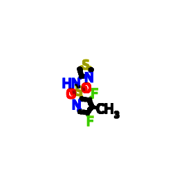 Cc1c(F)cnc(S(=O)(=O)Nc2cscn2)c1F